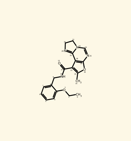 CCOc1ccccc1CNC(=O)c1c(C)oc2c1C1=NCCN1C=N2